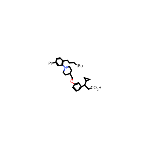 CC(C)c1ccc(CCCC(C)(C)C)c(N2CCC(COc3cccc(C(CC(=O)O)C4CC4)c3)CC2)c1